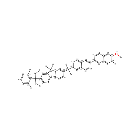 CCC(CC)(c1ccc2c(c1)C(C)(C)c1cc(C(C)(C)c3ccc4cc(-c5ccc6cc(OC)c(C)cc6c5)ccc4c3)ccc1-2)c1c(C)cccc1C